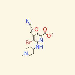 COC(=O)c1nc(NC2CCN(C)CC2)c(Br)c2cc(C#N)oc12